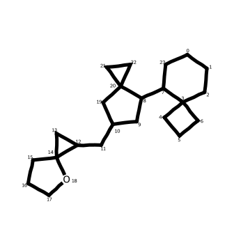 C1CCC2(CCC2)C(C2CC(CC3CC34CCCO4)CC23CC3)C1